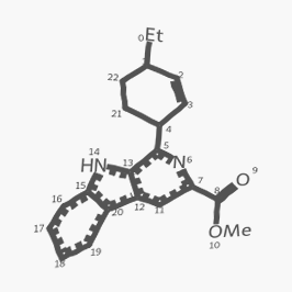 CCC1C=CC(c2nc(C(=O)OC)cc3c2[nH]c2ccccc23)CC1